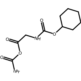 CCCC(=O)OC(=O)CNC(=O)OC1CCCCC1